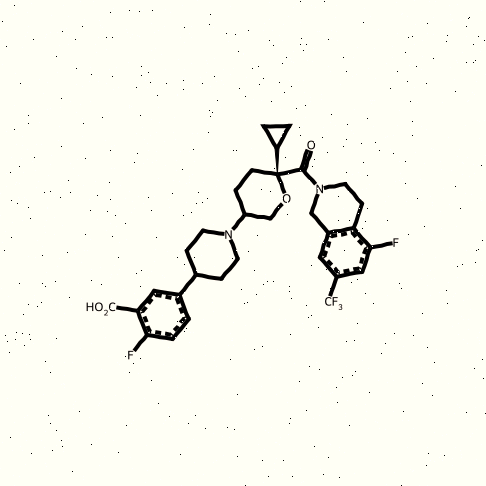 O=C(O)c1cc(C2CCN(C3CC[C@@](C(=O)N4CCc5c(F)cc(C(F)(F)F)cc5C4)(C4CC4)OC3)CC2)ccc1F